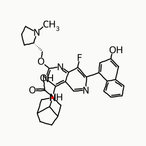 CN1CCC[C@H]1COc1nc(N2CC3CCC(C2)C3NC(=O)O)c2cnc(-c3cc(O)cc4ccccc34)c(F)c2n1